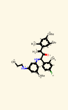 C=C(C(=O)C(Nc1cc(NCCN=O)cc(OC)c1)c1ccc(F)cc1C)c1cc(CCC)c(OC)cc1C